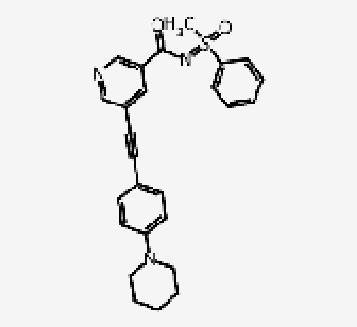 CS(=O)(=NC(=O)c1cncc(C#Cc2ccc(N3CCCCC3)cc2)c1)c1ccccc1